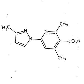 Cc1ccn(-c2cc(C)c(C(=O)O)c(C)n2)n1